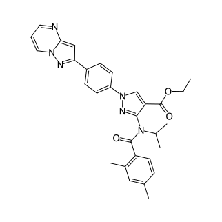 CCOC(=O)c1cn(-c2ccc(-c3cc4ncccn4n3)cc2)nc1N(C(=O)c1ccc(C)cc1C)C(C)C